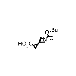 CC(C)(C)OC(=O)N1CC(C2CC2C(=O)O)C1